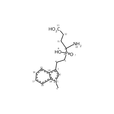 Cn1cc(CCP(=O)(O)C(N)CCC(=O)O)c2ccccc21